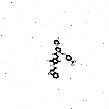 Cn1cc(C(=O)Nc2cc(F)c(CC(=O)N3C[C@@H](N4CC[C@H](F)C4)C[C@H]3CO[C@H]3CC[C@H](C(=O)O)CC3)cc2Cl)c2c1CCC=C2